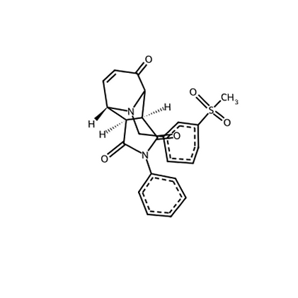 CS(=O)(=O)c1cccc(CN2C3C(=O)C=C[C@H]2[C@@H]2C(=O)N(c4ccccc4)C(=O)[C@H]32)c1